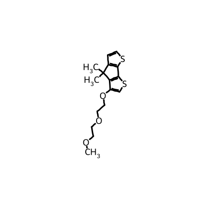 COCCOCCOc1csc2c1C(C)(C)c1ccsc1-2